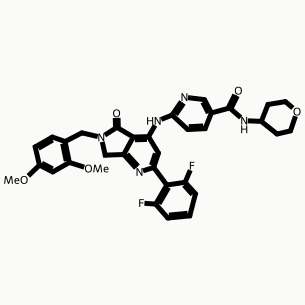 COc1ccc(CN2Cc3nc(-c4c(F)cccc4F)cc(Nc4ccc(C(=O)NC5CCOCC5)cn4)c3C2=O)c(OC)c1